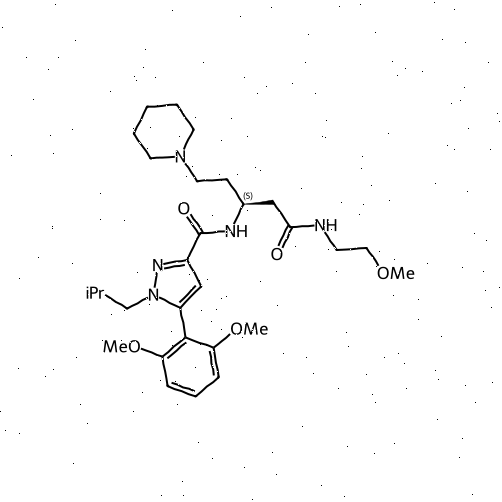 COCCNC(=O)C[C@H](CCN1CCCCC1)NC(=O)c1cc(-c2c(OC)cccc2OC)n(CC(C)C)n1